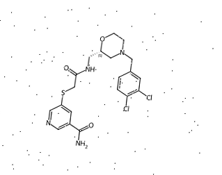 NC(=O)c1cncc(SCC(=O)NC[C@H]2CN(Cc3ccc(Cl)c(Cl)c3)CCO2)c1